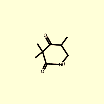 CC1CNC(=O)C(C)(C)C1=O